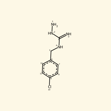 N=C(NN)NCc1ccc(Cl)cc1